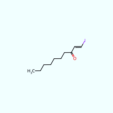 CCCCCCCC(=O)/C=C/I